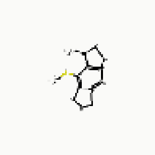 CSc1c2c(cc3c1C(C)CC3)CCC2